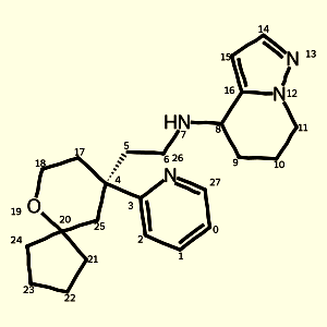 c1ccc([C@]2(CCNC3CCCn4nccc43)CCOC3(CCCC3)C2)nc1